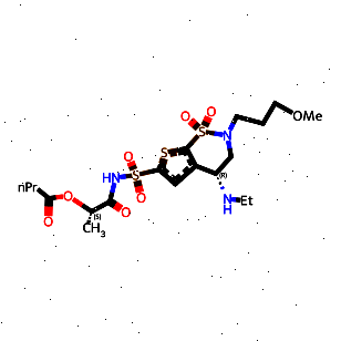 CCCC(=O)O[C@@H](C)C(=O)NS(=O)(=O)c1cc2c(s1)S(=O)(=O)N(CCCOC)C[C@@H]2NCC